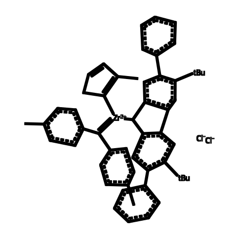 CC1=[C]([Zr+2](=[C](c2ccc(C)cc2)c2ccc(C)cc2)[CH]2c3cc(-c4ccccc4)c(C(C)(C)C)cc3-c3cc(C(C)(C)C)c(-c4ccccc4)cc32)CC=C1.[Cl-].[Cl-]